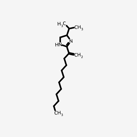 C=C(CCCCCCCCCC)C1=NC(C(C)C)CN1